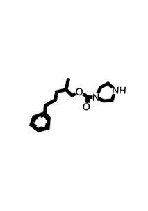 CC(CCCc1ccccc1)COC(=O)N1CCNCC1